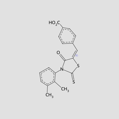 Cc1cccc(N2C(=O)/C(=C\c3ccc(C(=O)O)cc3)SC2=S)c1C